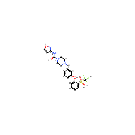 O=C(Nc1ccon1)N1CCN(Cc2cccc(Oc3ccccc3S(=O)(=O)C(F)(F)F)c2)CC1